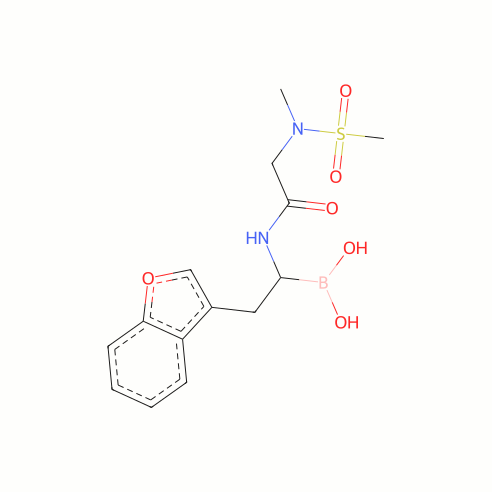 CN(CC(=O)NC(Cc1coc2ccccc12)B(O)O)S(C)(=O)=O